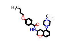 CCCCOc1ccc(C(=O)N[C@H]2COc3cccc(N4CCN(C)CC4)c3C2)cc1